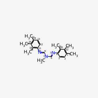 Cc1ccc(N=CN(C)C=Nc2ccc(C)c(C)c2C)c(C)c1C